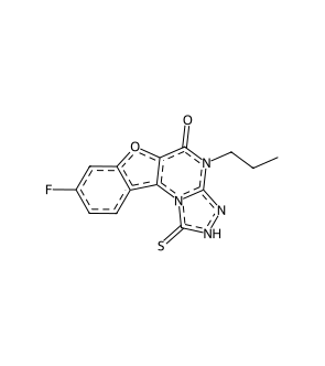 CCCn1c(=O)c2oc3cc(F)ccc3c2n2c(=S)[nH]nc12